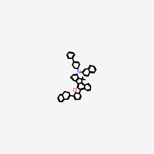 CC1(C)c2c(cccc2N(c2ccc3ccccc3c2)C2CC=C(c3ccccc3)CC2)-c2c3c(c4ccccc4c21)C1C=CC=C(C2=Cc4ccccc4CC2)C1O3